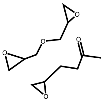 C(OCC1CO1)C1CO1.CC(=O)CCC1CO1